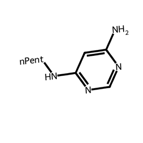 CCCCCNc1cc(N)ncn1